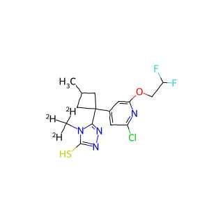 [2H]C([2H])([2H])n1c(S)nnc1C1(c2cc(Cl)nc(OCC(F)F)c2)CC(C)C1